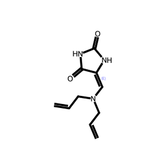 C=CCN(/C=C1/NC(=O)NC1=O)CC=C